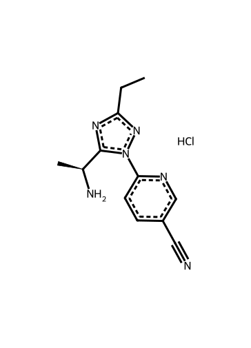 CCc1nc([C@H](C)N)n(-c2ccc(C#N)cn2)n1.Cl